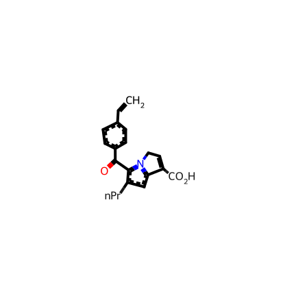 C=Cc1ccc(C(=O)c2c(CCC)cc3n2CC=C3C(=O)O)cc1